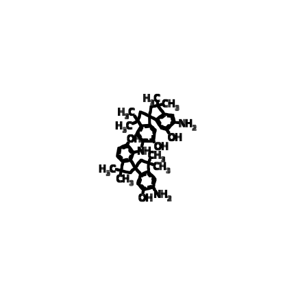 CC1(C)CC2(CC(C)(C)c3cc(Nc4c(O)ccc5c4C4(CC(C)(C)c6cc(N)c(O)cc64)CC5(C)C)c(O)cc32)c2cc(O)c(N)cc21